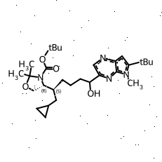 Cn1c(C(C)(C)C)cc2ncc(C(O)CCC[C@@H](CC3CC3)[C@@H]3COC(C)(C)N3C(=O)OC(C)(C)C)nc21